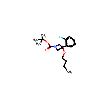 CCCCOC1(c2ccccc2F)CN(C(=O)OC(C)(C)C)C1